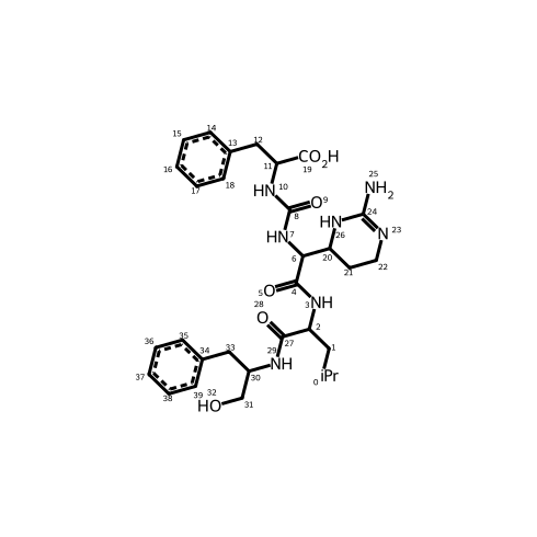 CC(C)CC(NC(=O)C(NC(=O)NC(Cc1ccccc1)C(=O)O)C1CCN=C(N)N1)C(=O)NC(CO)Cc1ccccc1